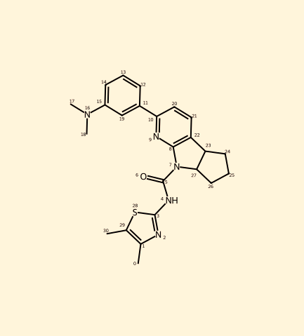 Cc1nc(NC(=O)N2c3nc(-c4cccc(N(C)C)c4)ccc3C3CCCC32)sc1C